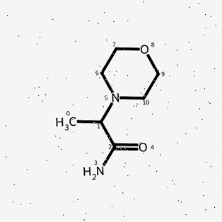 CC(C(N)=O)N1CCOCC1